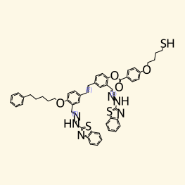 O=C(Oc1ccc(/C=C/c2ccc(OCCCCCc3ccccc3)c(/C=N/Nc3nc4ccccc4s3)c2)cc1/C=N/Nc1nc2ccccc2s1)c1ccc(OCCCCS)cc1